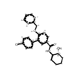 O=C(NC1CCCC[C@H]1O)c1cnc(OCc2ncccn2)c(-c2ccc(Cl)cc2)c1